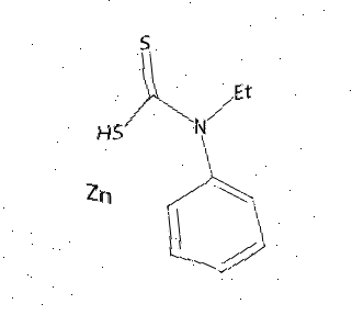 CCN(C(=S)S)c1ccccc1.[Zn]